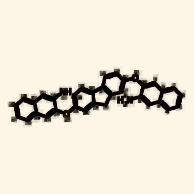 Nc1cc2ccccc2cc1Oc1ccc2c(c1)Cc1cc(Oc3cc4ccccc4cc3N)ccc1-2